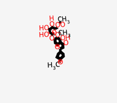 COc1ccc(-c2cc(=O)c3c(O)c(OC)c(O[C@@H]4OC(COC(C)=O)[C@@H](O)[C@H](O)C4O)cc3o2)cc1